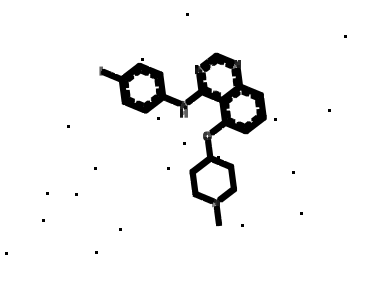 CN1CCC(Oc2cccc3ncnc(Nc4ccc(I)cc4)c23)CC1